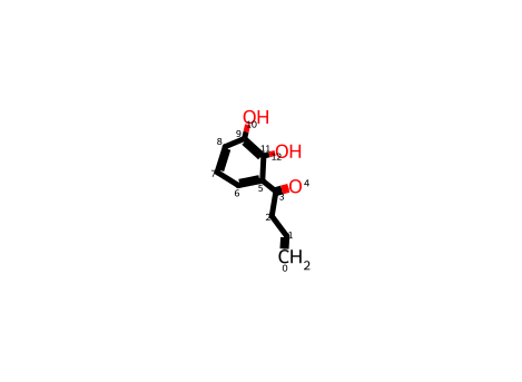 C=CCC(=O)c1cccc(O)c1O